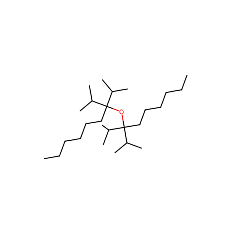 CCCCCCC(OC(CCCCCC)(C(C)C)C(C)C)(C(C)C)C(C)C